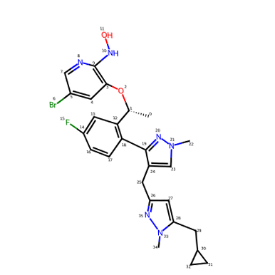 C[C@@H](Oc1cc(Br)cnc1NO)c1cc(F)ccc1-c1nn(C)cc1Cc1cc(CC2CC2)n(C)n1